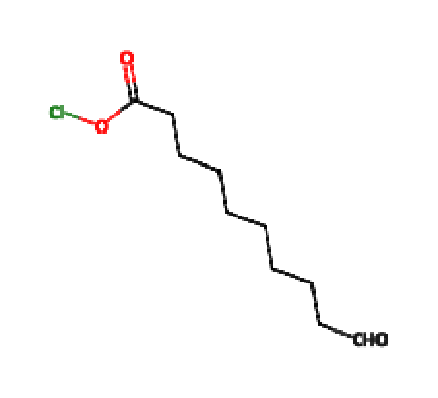 O=CCCCCCCCCC(=O)OCl